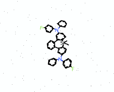 C[Si]1(C)c2ccc(N(c3ccccc3)c3ccc(F)cc3)cc2-c2ccccc2-c2cc(N(c3ccccc3)c3ccc(F)cc3)ccc21